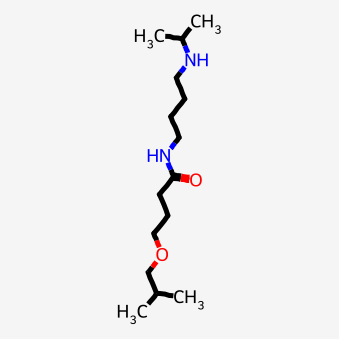 CC(C)COCCCC(=O)NCCCCNC(C)C